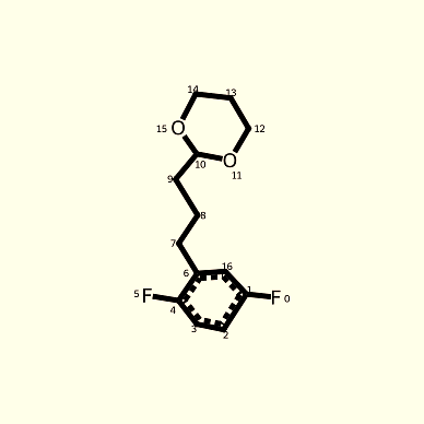 Fc1ccc(F)c(CCCC2OCCCO2)c1